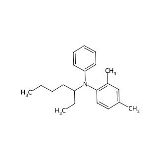 CCCCC(CC)N(c1ccccc1)c1ccc(C)cc1C